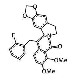 COc1ccc2c(Cc3ccccc3F)c3n(c(=O)c2c1OC)CCc1cc2c(cc1-3)OCO2